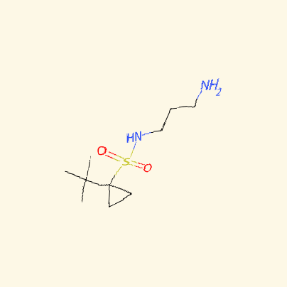 CC(C)(C)C1(S(=O)(=O)NCCCN)CC1